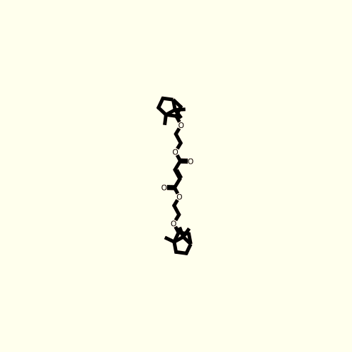 CC1(C)C2CCC1(C)C(OCCOC(=O)/C=C/C(=O)OCCOC1CC3CCC1(C)C3(C)C)C2